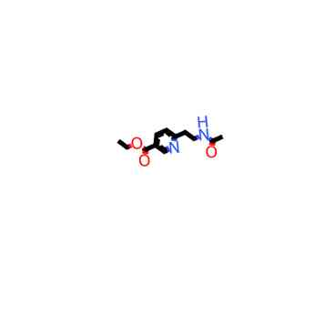 CCOC(=O)c1ccc(CCNC(C)=O)nc1